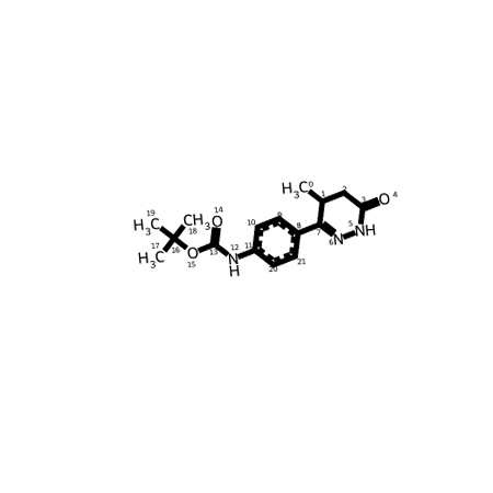 CC1CC(=O)NN=C1c1ccc(NC(=O)OC(C)(C)C)cc1